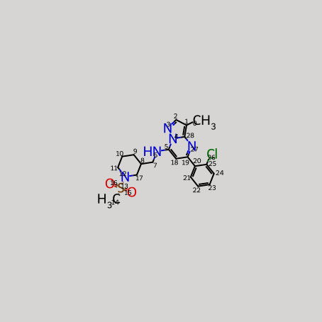 Cc1cnn2c(NCC3CCCN(S(C)(=O)=O)C3)cc(-c3ccccc3Cl)nc12